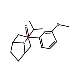 CSc1cccc(C(=O)N2C3CCC2CN(C(C)C)C3)c1